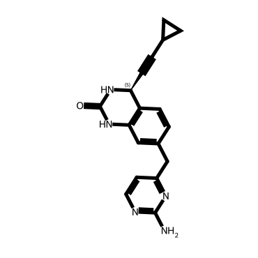 Nc1nccc(Cc2ccc3c(c2)NC(=O)N[C@H]3C#CC2CC2)n1